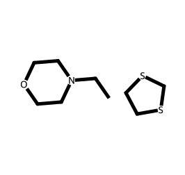 C1CSCS1.CCN1CCOCC1